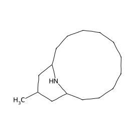 CC1CC2CCCCCCCCCCC(C1)N2